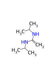 C=C(NC(C)C)NC(C)C